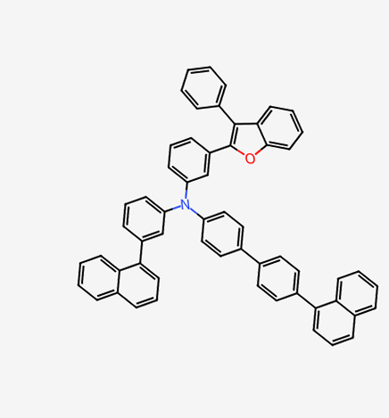 c1ccc(-c2c(-c3cccc(N(c4ccc(-c5ccc(-c6cccc7ccccc67)cc5)cc4)c4cccc(-c5cccc6ccccc56)c4)c3)oc3ccccc23)cc1